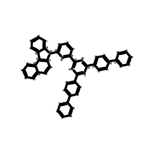 c1ccc(-c2ccc(-c3nc(-c4ccc(-c5ccccc5)cc4)nc(-c4cccc(-n5c6ccccc6c6c7ccccc7ccc65)n4)n3)cc2)cc1